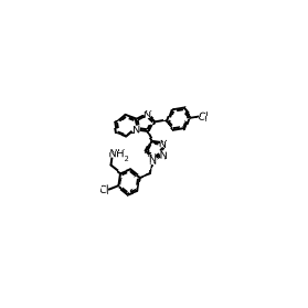 NCc1cc(Cn2cc(-c3c(-c4ccc(Cl)cc4)nc4ccccn34)nn2)ccc1Cl